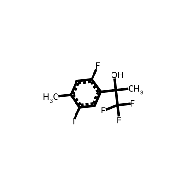 Cc1cc(F)c(C(C)(O)C(F)(F)F)cc1I